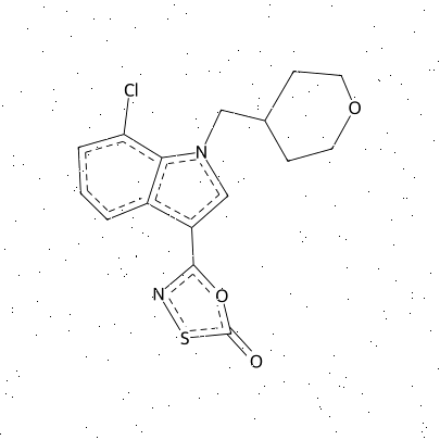 O=c1oc(-c2cn(CC3CCOCC3)c3c(Cl)cccc23)ns1